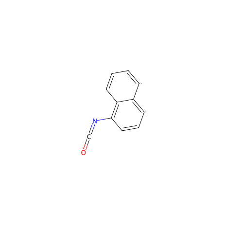 O=C=Nc1cccc2[c]cccc12